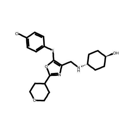 O[C@H]1CC[C@H](NCc2nc(C3CCOCC3)oc2Sc2ccc(Cl)cc2)CC1